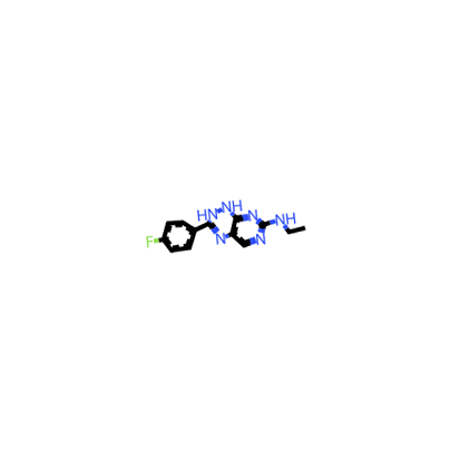 CCNc1ncc2c(n1)NNC(c1ccc(F)cc1)=N2